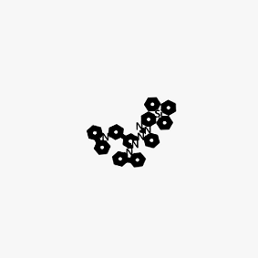 c1ccc([Si](c2ccccc2)(c2ccccc2)c2ccc3nc4n(-c5cc(-c6cccc(-n7c8ccccc8c8ccccc87)c6)cc(-n6c7ccccc7c7ccccc76)n5)c5ccccc5n4c3c2)cc1